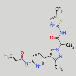 C=CC(=O)Nc1ccc(-c2cn(C(C)C(=O)Nc3ncc(C(F)(F)F)s3)nc2C)cn1